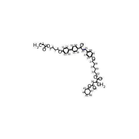 C=CC(=O)OCCCCOc1ccc(-c2ccc(C(=O)/C=C/c3ccc(OCCCCCCOC(=O)C(=C)CC(=O)OC4CCCCC4)cc3)cc2)cc1